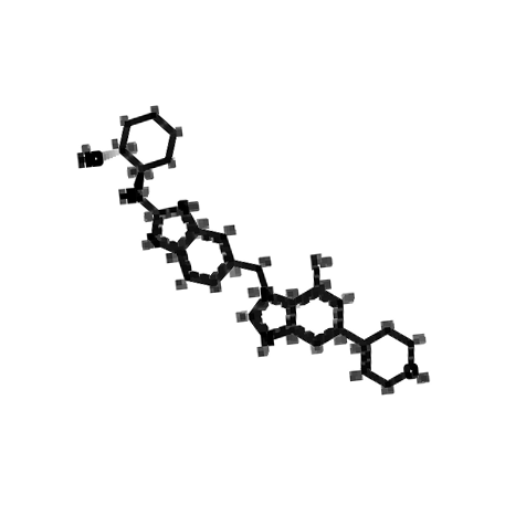 O[C@@H]1CCCC[C@H]1Nc1nc2ccc(Cn3cnc4cc(C5=CCOCC5)cc(F)c43)cc2s1